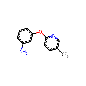 Nc1cccc(Oc2ccc(C(F)(F)F)cn2)c1